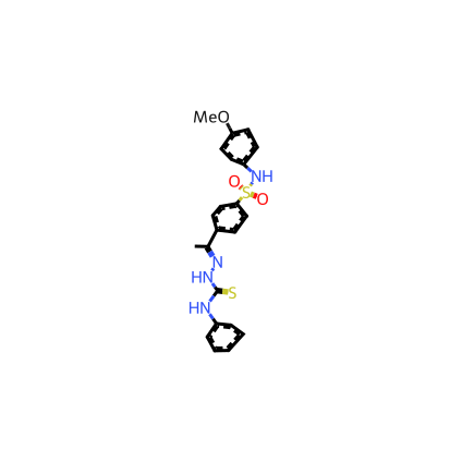 COc1ccc(NS(=O)(=O)c2ccc(C(C)=NNC(=S)Nc3ccccc3)cc2)cc1